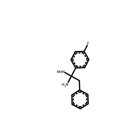 CNC(N)(Cc1ccccc1)c1ccc(F)cc1